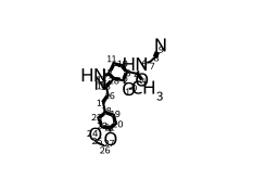 COc1c(C(=O)NCC#N)ccc2[nH]nc(/C=C/c3ccc4c(c3)OCCO4)c12